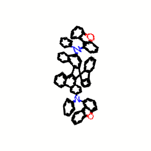 c1ccc(N(c2ccc3c4c(c5ccccc5c3c2)-c2c(cc(N(c3ccccc3)c3cccc5oc6ccccc6c35)c3ccccc23)C42c3ccccc3-c3ccccc32)c2cccc3oc4ccccc4c23)cc1